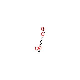 C=CC(=O)OCCCCCCOCC1CO1